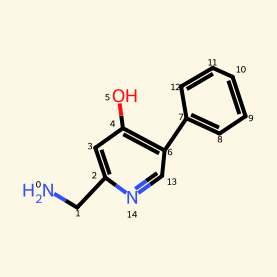 NCc1cc(O)c(-c2ccccc2)cn1